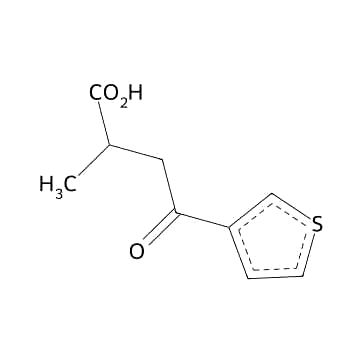 CC(CC(=O)c1ccsc1)C(=O)O